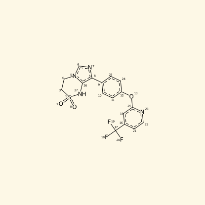 O=S1(=O)CCn2cnc(-c3ccc(Oc4cc(C(F)(F)F)ccn4)cc3)c2N1